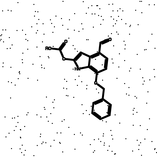 O=Cc1ccc(OCc2ccccc2)c2[nH]c(OC(=O)O)cc12